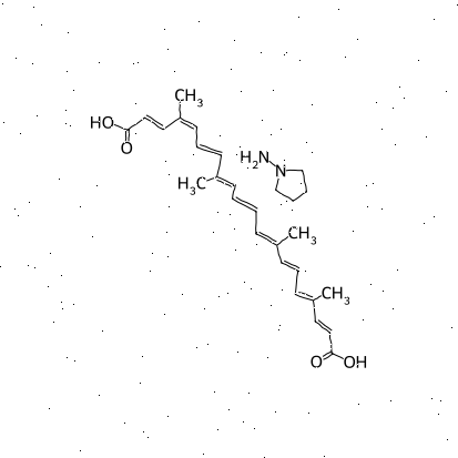 CC(=C/C=C/C(C)=C/C=C/C=C(C)/C=C/C=C(C)/C=C/C(=O)O)/C=C/C(=O)O.NN1CCCC1